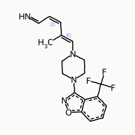 CC(/C=C\C=N)=C\N1CCN(c2noc3cccc(C(F)(F)F)c23)CC1